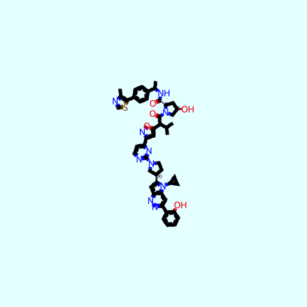 Cc1ncsc1-c1ccc(C(C)NC(=O)[C@@H]2C[C@@H](O)CN2C(=O)C(c2cc(-c3ccnc(N4CC[C@@H](c5cc6nnc(-c7ccccc7O)cc6n5C5CC5)C4)n3)no2)C(C)C)cc1